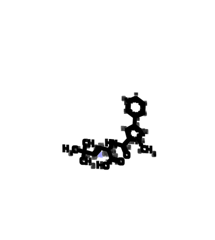 Cn1nc(-c2cccnc2)cc1C(=O)N[C@H](/C=C/C(C)(C)C)C(=O)O